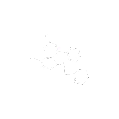 O=C(O)/C=C(/c1ccccc1)c1cc(Cl)ccc1SCc1ccccc1